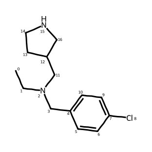 CCN(Cc1ccc(Cl)cc1)CC1CCNC1